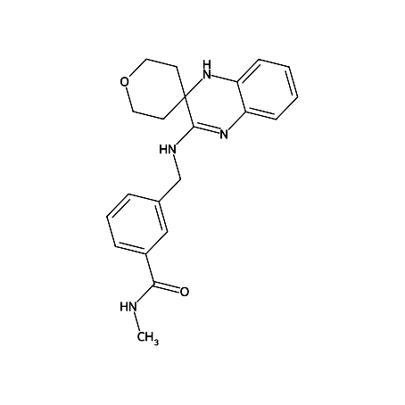 CNC(=O)c1cccc(CNC2=Nc3ccccc3NC23CCOCC3)c1